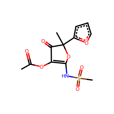 CC(=O)OC1=C(NS(C)(=O)=O)OC(C)(c2ccco2)C1=O